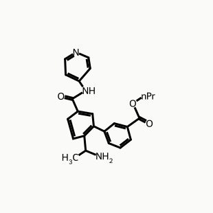 CCCOC(=O)c1cccc(-c2cc(C(=O)Nc3ccncc3)ccc2C(C)N)c1